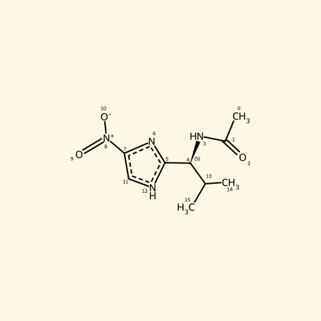 CC(=O)N[C@H](c1nc([N+](=O)[O-])c[nH]1)C(C)C